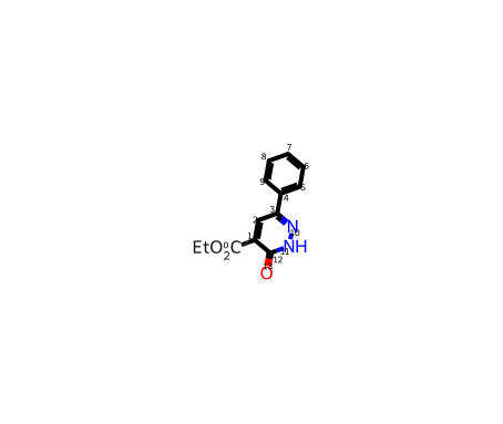 CCOC(=O)c1cc(-c2ccccc2)n[nH]c1=O